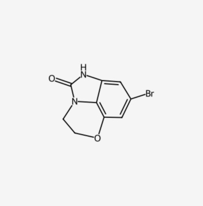 O=c1[nH]c2cc(Br)cc3c2n1CCO3